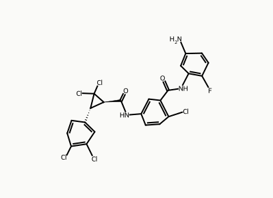 Nc1ccc(F)c(NC(=O)c2cc(NC(=O)[C@H]3[C@H](c4ccc(Cl)c(Cl)c4)C3(Cl)Cl)ccc2Cl)c1